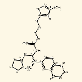 Cc1noc(CCCCC(=O)NC(CN2CCCC2)[C@H](O)c2ccc3c(c2)OCCO3)n1